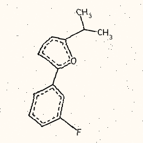 CC(C)c1ccc(-c2cccc(F)c2)o1